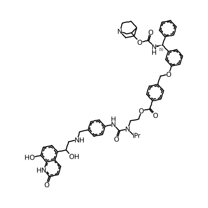 CC(C)N(CCOC(=O)c1ccc(COc2cccc([C@@H](NC(=O)OC3CN4CCC3CC4)c3ccccc3)c2)cc1)C(=O)Nc1ccc(CNCC(O)c2ccc(O)c3[nH]c(=O)ccc23)cc1